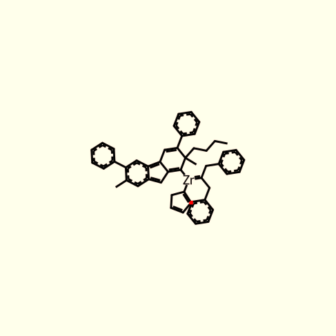 CCCCC1(C)C(c2ccccc2)=CC2=c3cc(-c4ccccc4)c(C)cc3=CC2=[C]1[Zr]([C]1=CC=CC1)=[C](Cc1ccccc1)Cc1ccccc1